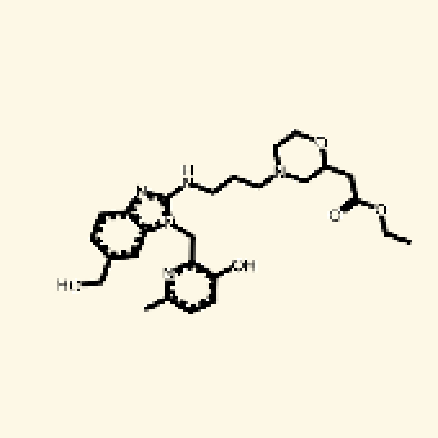 CCOC(=O)CC1CN(CCCNc2nc3ccc(CO)cc3n2Cc2nc(C)ccc2O)CCO1